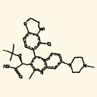 Cc1nc2cc(N3CCN(C)CC3)ccc2c(-c2ccc3c(c2Cl)NCCO3)c1[C@H](OC(C)(C)C)C(=O)O